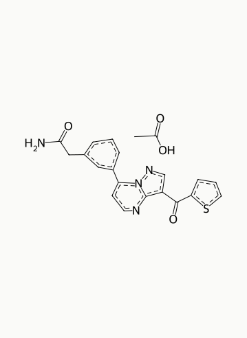 CC(=O)O.NC(=O)Cc1cccc(-c2ccnc3c(C(=O)c4cccs4)cnn23)c1